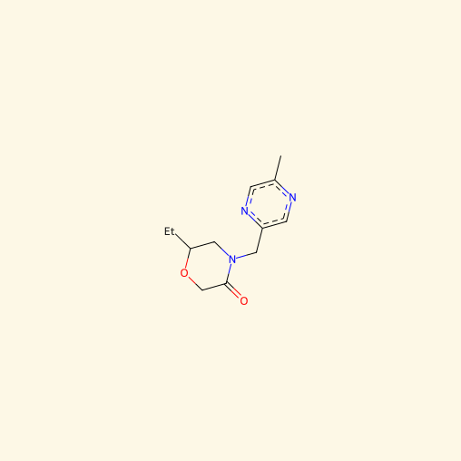 CCC1CN(Cc2cnc(C)cn2)C(=O)CO1